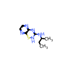 CCC(C)NC1=Nc2nccnc2SN1